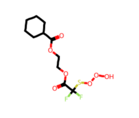 O=C(OCCOC(=O)C(F)(F)SOOO)C1CCCCC1